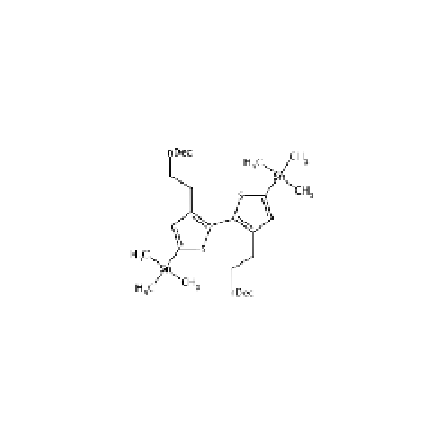 CCCCCCCCCCCCc1c[c]([Sn]([CH3])([CH3])[CH3])sc1-c1s[c]([Sn]([CH3])([CH3])[CH3])cc1CCCCCCCCCCCC